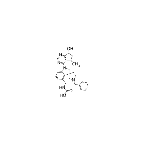 C[C@@H]1C[C@@H](O)c2ncnc(N3C[C@]4(CCN(Cc5ccccc5)C4)c4c(CNC(=O)O)cccc43)c21